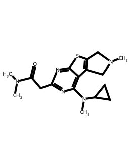 CN1Cc2sc3nc(CC(=O)N(C)C)nc(N(C)C4CC4)c3c2C1